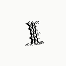 CCCCCCCCCCCCCCCCCCCC(=O)[O-].CCCCCCCCCCCCCCCCCCCC(=O)[O-].CCCCCCCCCCCCCCCCCCCC(=O)[O-].[Al+3]